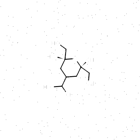 CC(C)C1C[C@](C)(CO)O[C@](C)(CO)C1